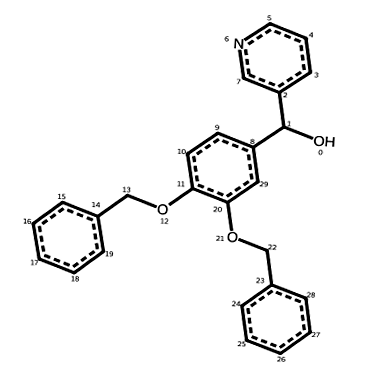 OC(c1cccnc1)c1ccc(OCc2ccccc2)c(OCc2ccccc2)c1